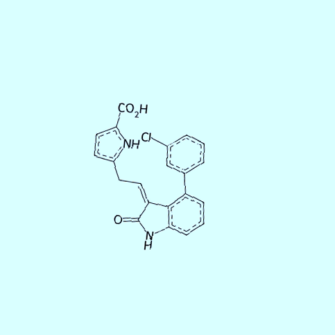 O=C1Nc2cccc(-c3cccc(Cl)c3)c2C1=CCc1ccc(C(=O)O)[nH]1